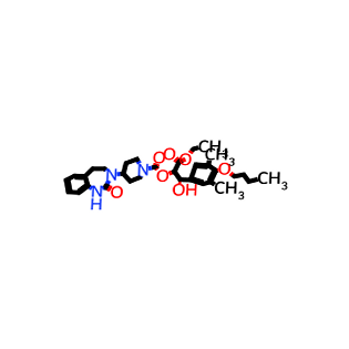 CCCCOc1c(C)cc([C@@H](O)C(OC(=O)N2CCC(N3CCc4ccccc4NC3=O)CC2)C(=O)OCC)cc1C